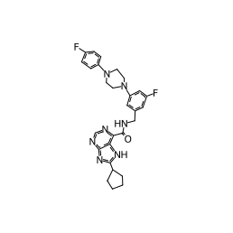 O=C(NCc1cc(F)cc(N2CCN(c3ccc(F)cc3)CC2)c1)c1ncnc2nc(C3CCCC3)[nH]c12